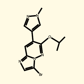 CC(C)Oc1nn2c(Br)cnc2cc1-c1cnn(C)c1